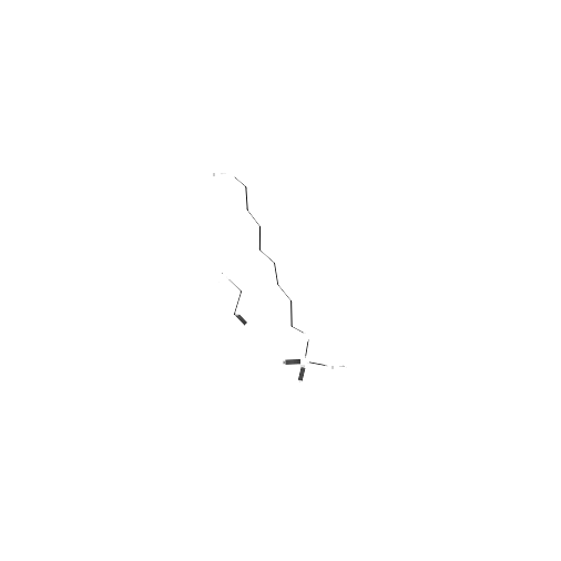 C=CCN.CCCCCCCCCCCCCCCCCCOS(=O)(=O)CCCCCCCCCC